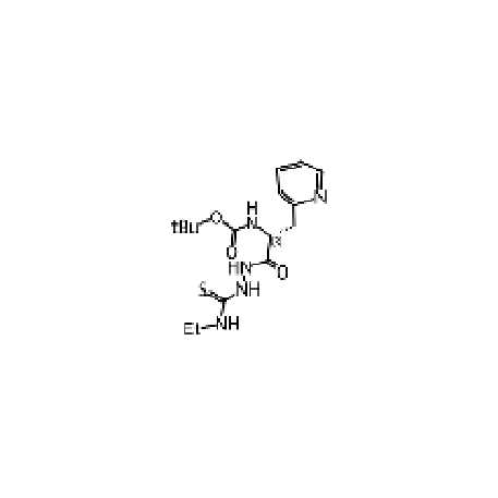 CCNC(=S)NNC(=O)[C@@H](Cc1ccccn1)NC(=O)OC(C)(C)C